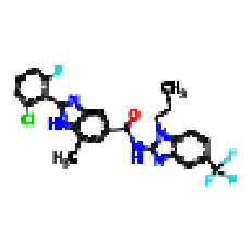 CCCn1c(NC(=O)c2cc(C)c3[nH]c(-c4c(F)cccc4Cl)nc3c2)nc2cc(C(F)(F)F)ccc21